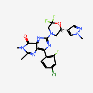 Cc1nc2c(-c3ccc(Cl)cc3F)nc(N3C[C@@H](c4cnn(C)c4)OC(F)(F)C3)nc2c(=O)n1C